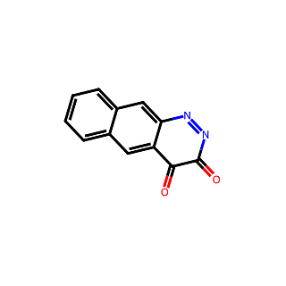 O=C1N=Nc2cc3ccccc3cc2C1=O